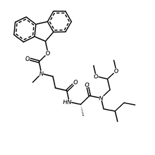 CCC(C)CN(CC(OC)OC)C(=O)[C@H](C)NC(=O)CCN(C)C(=O)OC1c2ccccc2-c2ccccc21